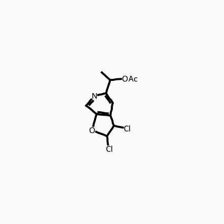 CC(=O)OC(C)c1cc2c(cn1)OC(Cl)C2Cl